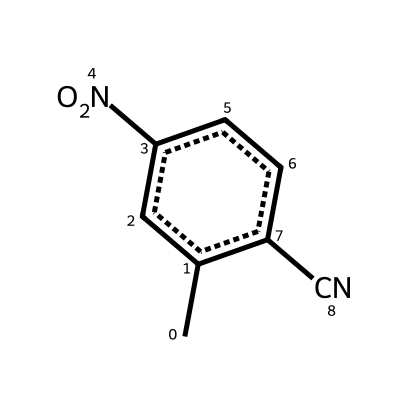 Cc1cc([N+](=O)[O-])ccc1C#N